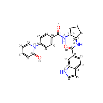 O=C(N[C@H]1CCC[C@H]1NC(=O)c1ccc2cc[nH]c2c1)c1ccc(-n2ccccc2=O)cc1